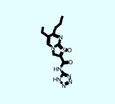 CCCC1=NC2=S(=O)=C(C(=O)Nc3nnn[nH]3)CN2C=C1CC